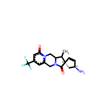 CC1C2Cn3c(cc(C(F)(F)F)cc3=O)CN2C(=O)[C@]12C=C[C@@H](N)C2